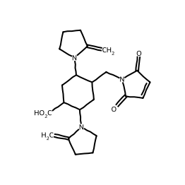 C=C1CCCN1C1CC(C(=O)O)C(N2CCCC2=C)CC1CN1C(=O)C=CC1=O